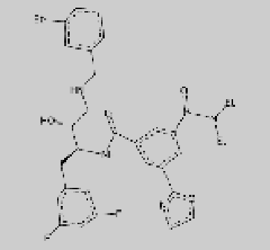 CCc1cccc(CNC[C@@H](O)[C@H](Cc2cc(F)cc(F)c2)NC(=O)c2cc(C(=O)N(CC)CC)cc(-c3ncco3)c2)c1